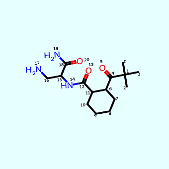 CC(C)(C)C(=O)C1CCCCC1C(=O)NC(CN)C(N)=O